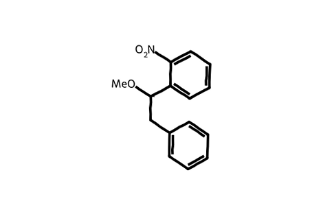 CO[C](Cc1ccccc1)c1ccccc1[N+](=O)[O-]